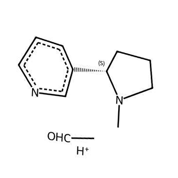 CC=O.CN1CCC[C@H]1c1cccnc1.[H+]